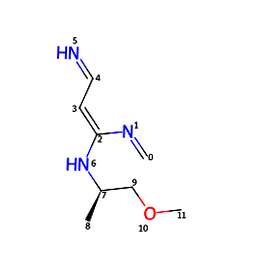 C=N/C(=C\C=N)N[C@H](C)COC